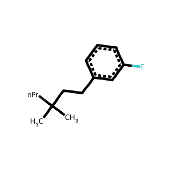 [CH2]CCC(C)(C)CCc1cccc(F)c1